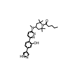 CCCCC(=O)N1C(C)(C)CC(N(C)c2ccc(-c3ccc(-c4cn[nH]c4)cc3O)nn2)CC1(C)C